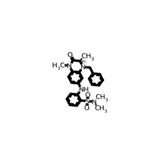 C[C@@H]1C(=O)N(C)c2ccc(Nc3ccccc3S(=O)(=O)N(C)C)cc2N1Cc1ccccc1